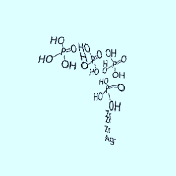 O=P(O)(O)O.O=P(O)(O)O.O=P(O)(O)O.O=P(O)(O)O.[Ag].[Zr].[Zr].[Zr]